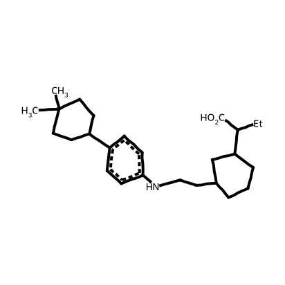 CCC(C(=O)O)C1CCCC(CCNc2ccc(C3CCC(C)(C)CC3)cc2)C1